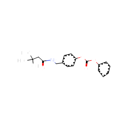 CC(C)(C)CC(=O)NCc1ccc(OC(=O)Oc2ccccc2)cc1